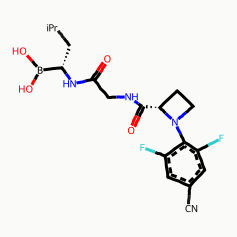 CC(C)C[C@H](NC(=O)CNC(=O)[C@@H]1CCN1c1c(F)cc(C#N)cc1F)B(O)O